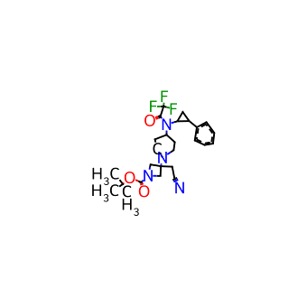 CC(C)(C)OC(=O)N1CC(CC#N)(N2CCC(N(C(=O)C(F)(F)F)C3CC3c3ccccc3)CC2)C1